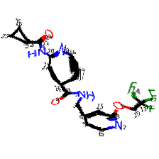 O=C(NCc1ccnc(OCC(F)(F)F)c1)c1ccnc(NC(=O)C2CC2)c1